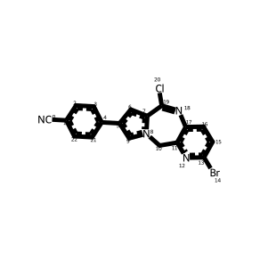 N#Cc1ccc(-c2cc3n(c2)Cc2nc(Br)ccc2N=C3Cl)cc1